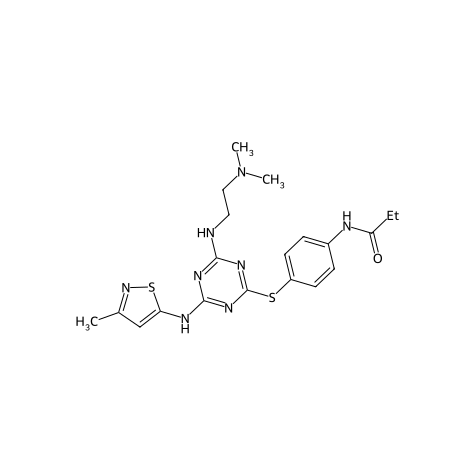 CCC(=O)Nc1ccc(Sc2nc(NCCN(C)C)nc(Nc3cc(C)ns3)n2)cc1